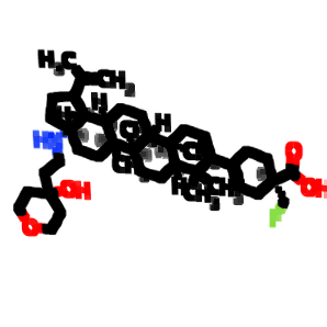 C=C(C)C1CC[C@]2(NCCC3(O)CCOCC3)CC[C@]3(C)[C@H](CC[C@@H]4[C@@]5(C)CC=C(C6=CC[C@](CF)(C(=O)O)CC6)C(C)(C)[C@@H]5CC[C@]43C)[C@@H]12